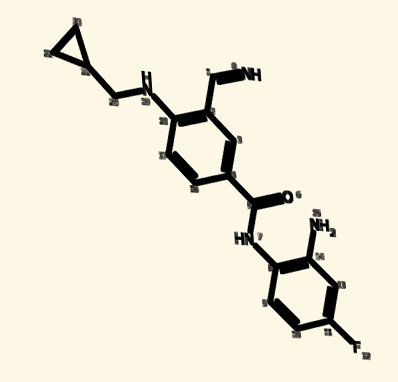 N=Cc1cc(C(=O)Nc2ccc(F)cc2N)ccc1NCC1CC1